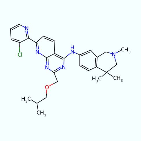 CC(C)COCc1nc(Nc2ccc3c(c2)CN(C)CC3(C)C)c2ccc(-c3ncccc3Cl)nc2n1